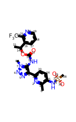 Cc1nc(-c2nnn(C)c2NC(=O)OC(C)c2cccnc2C(F)(F)F)ccc1NS(C)(=O)=O